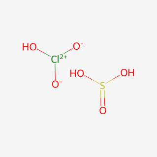 O=S(O)O.[O-][Cl+2]([O-])O